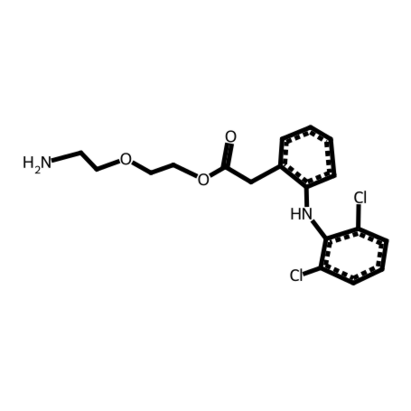 NCCOCCOC(=O)Cc1ccccc1Nc1c(Cl)cccc1Cl